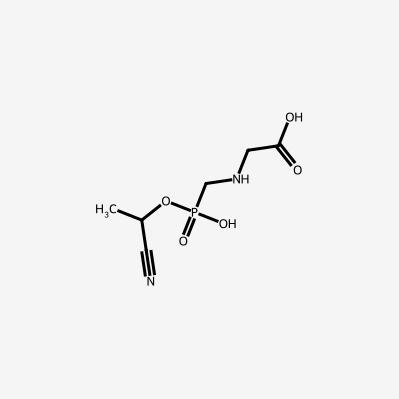 CC(C#N)OP(=O)(O)CNCC(=O)O